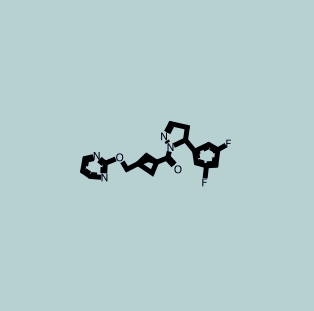 O=C(N1N=CCC1c1cc(F)cc(F)c1)C12CC(COc3ncccn3)(C1)C2